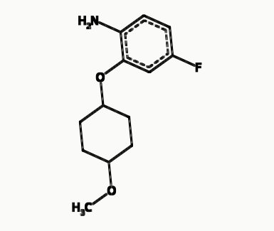 COC1CCC(Oc2cc(F)ccc2N)CC1